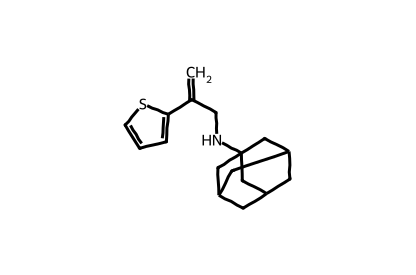 C=C(CNC12CC3CC(CC(C3)C1)C2)c1cccs1